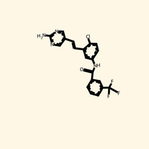 Nc1ncc(/C=C/c2cc(NC(=O)c3cccc(C(F)(F)F)c3)ccc2Cl)cn1